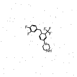 Fc1ccc(CC2C=CC(N3CCNCC3)=CC2C(F)(F)F)cc1F